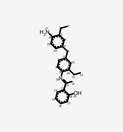 CCc1cc(Cc2ccc(/N=C(\C)c3ccccc3O)c(CC)c2)ccc1N